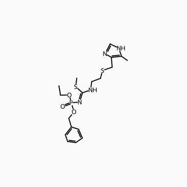 CCOP(=O)(N=C(NCCSCc1nc[nH]c1C)SC)OCc1ccccc1